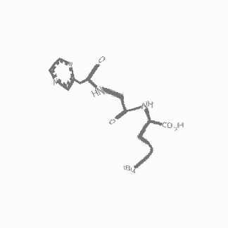 CC(C)(C)CCC(NC(=O)CNC(=O)c1cnccn1)C(=O)O